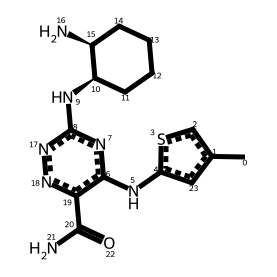 Cc1csc(Nc2nc(N[C@@H]3CCCC[C@@H]3N)nnc2C(N)=O)c1